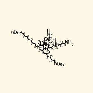 CCCCCCCCCCCCCCCCCCN(CCCCCCCCCCCCCCCCCC)C(=O)C(CCC(=O)O)NC(=O)C(CCCNCCCN)NCCCN